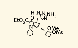 CCOC(=O)c1cn(C2CCCCC2)c2cc(C#Cc3cccc(OC)c3OC)cc(Cc3cnc(N)nc3N)c2c1=O